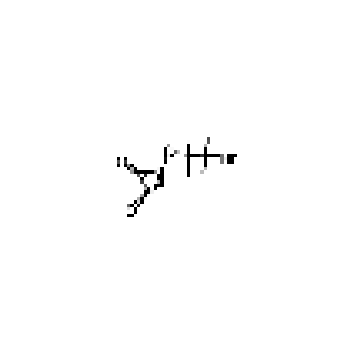 CC(C)(Br)C(C)(C)Oc1cc(=O)c1=O